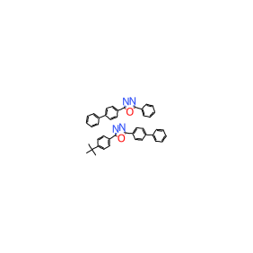 CC(C)(C)c1ccc(-c2nnc(-c3ccc(-c4ccccc4)cc3)o2)cc1.c1ccc(-c2ccc(-c3nnc(-c4ccccc4)o3)cc2)cc1